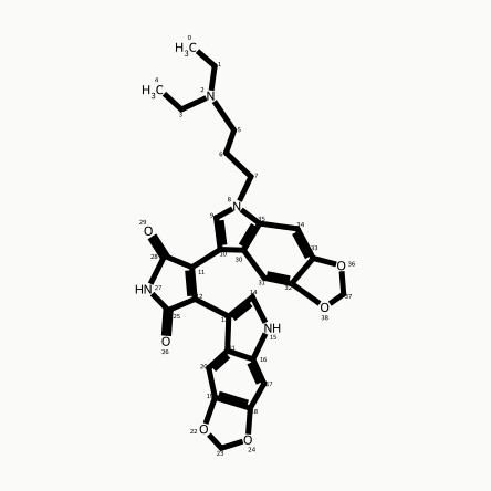 CCN(CC)CCCn1cc(C2=C(c3c[nH]c4cc5c(cc34)OCO5)C(=O)NC2=O)c2cc3c(cc21)OCO3